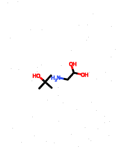 CC(C)(C)O.NCC(O)O